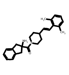 Cc1cccc(C)c1/C=C/C1CCN(C(=O)C2(N)Cc3ccccc3C2)CC1